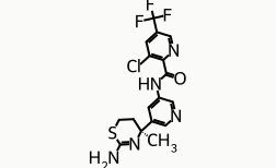 C[C@@]1(c2cncc(NC(=O)c3ncc(C(F)(F)F)cc3Cl)c2)CCSC(N)=N1